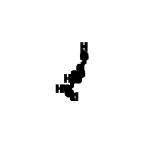 O=S(=O)(NCCCc1c[nH]c2ccc(Cl)cc12)c1cccc(OCCCC2CCNCC2)c1